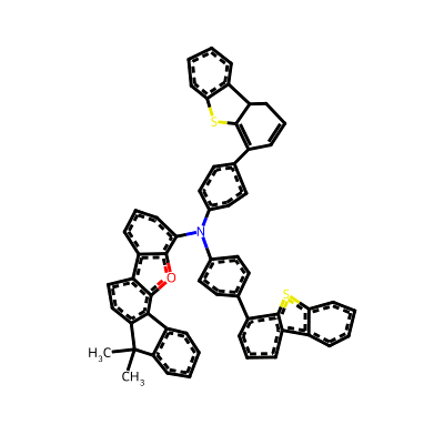 CC1(C)c2ccccc2-c2c1ccc1c2oc2c(N(c3ccc(C4=C5Sc6ccccc6C5CC=C4)cc3)c3ccc(-c4cccc5c4sc4ccccc45)cc3)cccc21